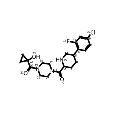 O=C(C1CCC(c2ccc(Cl)cc2F)CN1)N1CCN(C(=O)C2(O)CC2)CC1